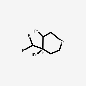 CC(C)C1COCC[C@]1(C(C)C)C(F)F